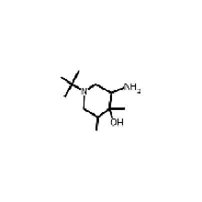 CC1CN(C(C)(C)C)CC(N)C1(C)O